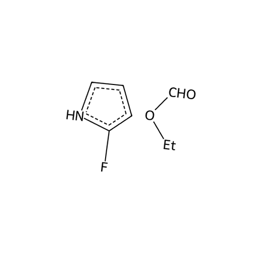 CCOC=O.Fc1ccc[nH]1